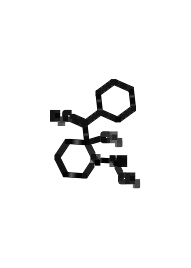 C=C(C1CCCCC1)C1(C)CCCCN1NC